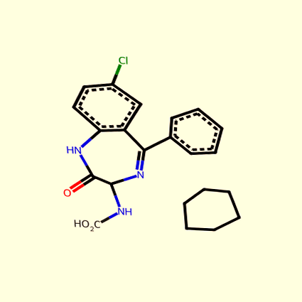 C1CCCCC1.O=C(O)NC1N=C(c2ccccc2)c2cc(Cl)ccc2NC1=O